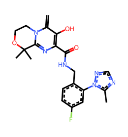 C=C1C(O)=C(C(=O)NCc2ccc(F)cc2-n2ncnc2C)N=C2N1CCOC2(C)C